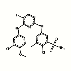 COc1ccc(Nc2nc(Nc3cc(C)c(Cl)c(S(N)(=O)=O)c3)ncc2F)cc1Cl